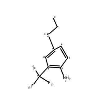 CCSc1ccc(N)c(C(F)(F)F)c1